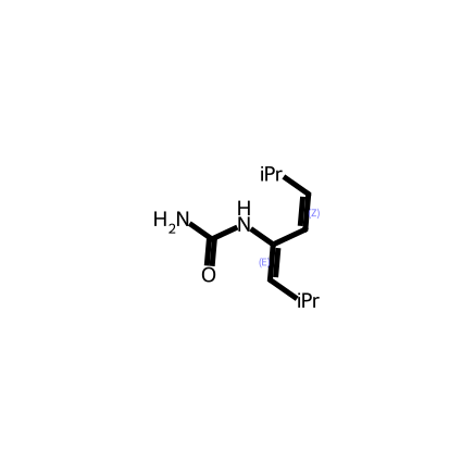 CC(C)/C=C\C(=C/C(C)C)NC(N)=O